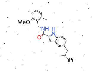 COc1cccc(C)c1CNC(=O)c1cc2cc(CC(C)C(C)C)ccc2[nH]1